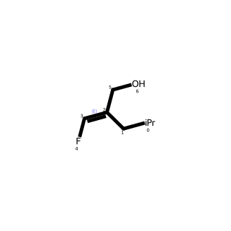 CC(C)C/C(=C\F)CO